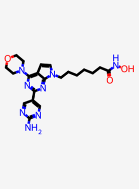 Nc1ncc(-c2nc(N3CCOCC3)c3ccn(CCCCCCC(=O)NO)c3n2)cn1